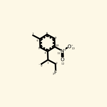 [CH2]C(CF)c1cc(C)ccc1[N+](=O)[O-]